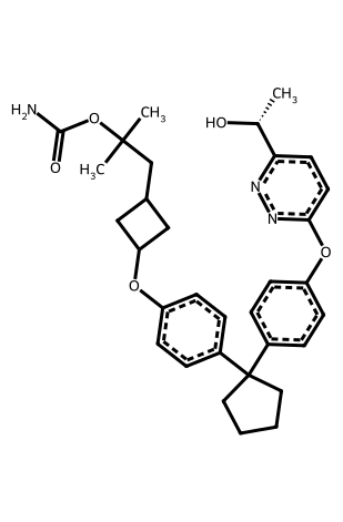 C[C@@H](O)c1ccc(Oc2ccc(C3(c4ccc(OC5CC(CC(C)(C)OC(N)=O)C5)cc4)CCCC3)cc2)nn1